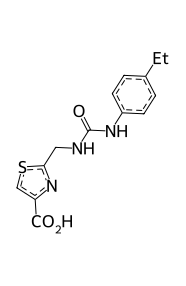 CCc1ccc(NC(=O)NCc2nc(C(=O)O)cs2)cc1